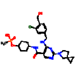 CP(=O)(O)O[C@H]1CC[C@@H](NC(=O)c2cnc(N3CCC4(CC4)C3)nc2NCc2ccc(CO)c(Cl)c2)CC1